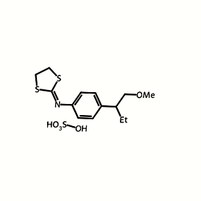 CCC(COC)c1ccc(N=C2SCCS2)cc1.O=S(=O)(O)O